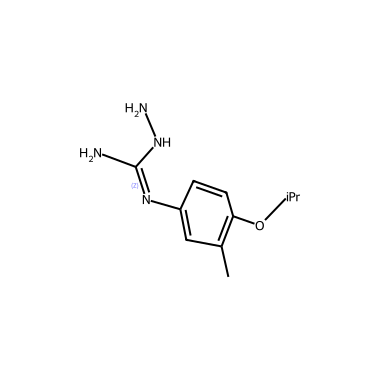 Cc1cc(/N=C(/N)NN)ccc1OC(C)C